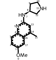 COc1ccc2nc(N[C@H]3CCNC3)cc(C)c2c1